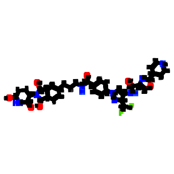 O=C1CCC(N2C(=O)c3ccc(CCCNC(=O)c4ccc(-n5cc(NC(=O)c6coc(-c7ccncc7)n6)c(C(F)F)n5)cc4)cc3C2=O)C(=O)N1